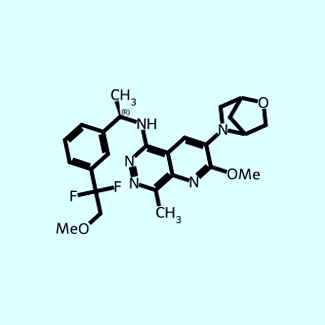 COCC(F)(F)c1cccc([C@@H](C)Nc2nnc(C)c3nc(OC)c(N4CC5CC4CO5)cc23)c1